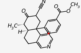 COC(=O)c1cccc(C23CC(C#N)C(=O)[C@@H](C)[C@@H]2CCc2cncnc23)c1